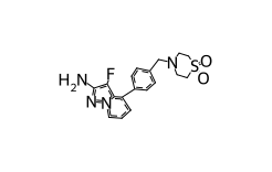 Nc1nn2cccc(-c3ccc(CN4CCS(=O)(=O)CC4)cc3)c2c1F